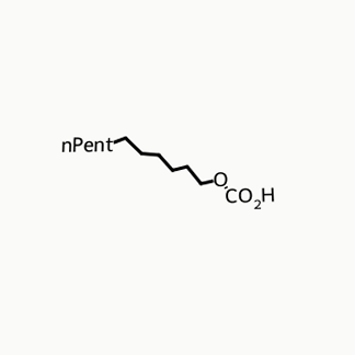 CCCCCCCCCCCOC(=O)O